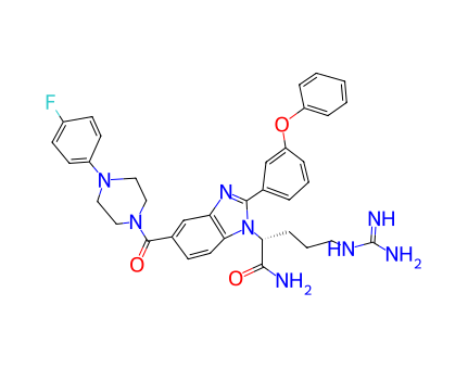 N=C(N)NCCC[C@H](C(N)=O)n1c(-c2cccc(Oc3ccccc3)c2)nc2cc(C(=O)N3CCN(c4ccc(F)cc4)CC3)ccc21